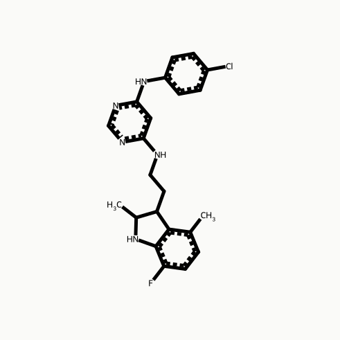 Cc1ccc(F)c2c1C(CCNc1cc(Nc3ccc(Cl)cc3)ncn1)C(C)N2